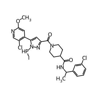 COc1cc(-c2cc(C(=O)N3CCC(C(=O)NC(C)c4cccc(Cl)c4)CC3)nn2PI)c(Cl)cn1